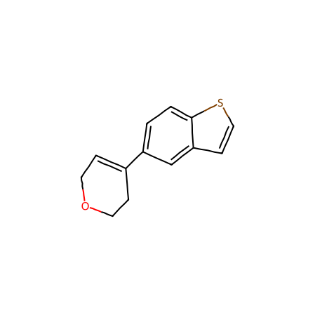 C1=C(c2ccc3sccc3c2)CCOC1